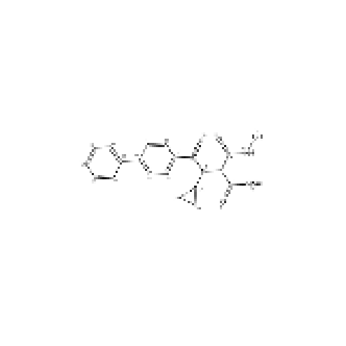 CNC(=O)C(C(=O)NO)N(C(=O)c1ccc(-c2ccccc2)cc1)C1CC1